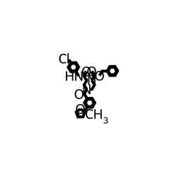 CC1(c2cccc(C(=O)N3CCN(C(=O)OCc4ccccc4)C(C(=O)Nc4ccc(Cl)cc4)C3)c2)CC=CO1